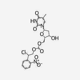 Cc1cn([C@H]2CC(O)[C@@H](COC(=O)OCC(Cl)c3ccccc3[N+](=O)[O-])O2)c(=O)[nH]c1=O